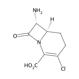 N[C@H]1C(=O)N2C(C(=O)O)=C(Cl)CC[C@H]12